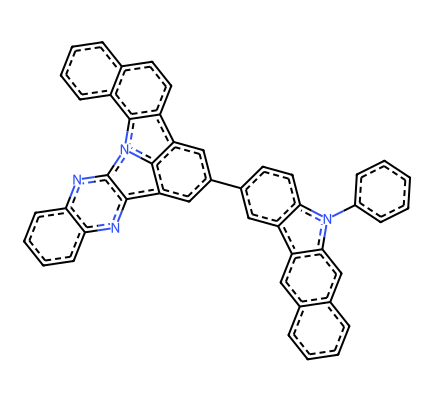 c1ccc(-n2c3ccc(-c4cc5c6ccc7ccccc7c6n6c7nc8ccccc8nc7c(c4)c56)cc3c3cc4ccccc4cc32)cc1